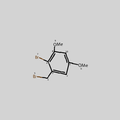 COc1cc(CBr)c(Br)c(OC)c1